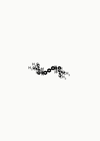 COCC[C@H](NC(=O)OC)C(=O)N1CCC[C@H]1c1nc2ccc(-c3ccc(-c4ccc5nc([C@@H]6CCCN6C(=O)[C@H](CCOC)NC(=O)OC)[nH]c5c4)cc3)cc2[nH]1